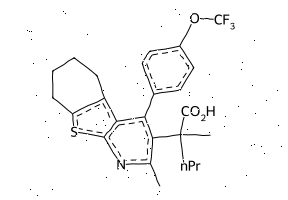 CCCC(C)(C(=O)O)c1c(C)nc2sc3c(c2c1-c1ccc(OC(F)(F)F)cc1)CCCC3